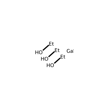 CCO.CCO.CCO.[Ga]